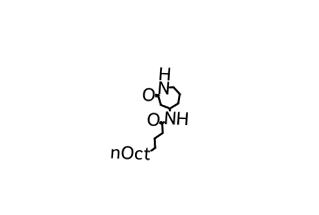 CCCCCCCCCCCC(=O)NC1CCCNC(=O)C1